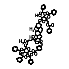 C[C@@H](CCC(=O)[C@@H](C)C1C(=O)CC2C3CCC4CC(O[C@@H]5OC(COC(=O)c6ccccc6)[C@@H](OC(=O)c6ccccc6)C(OC(=O)c6ccccc6)C5O)CCC4(C)C3CCC21C)CO[C@@H]1OC(COC(=O)c2ccccc2)[C@H](OC(=O)c2ccccc2)C(OC(=O)c2ccccc2)C1OC(=O)c1ccccc1